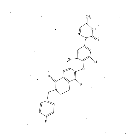 C=C1C=NN(c2cc(Cl)c(Oc3ccc4c(c3F)CCN(Cc3ccc(F)cc3)C4=O)c(Cl)c2)C(=O)N1